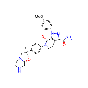 COc1ccc(-n2nc(C(N)=O)c3c2C(=O)N(c2ccc(C(C)(C)CN4CCNCC4=O)cc2)CC3)cc1